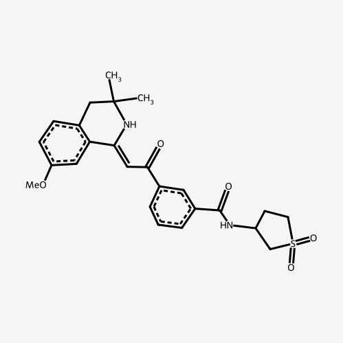 COc1ccc2c(c1)/C(=C/C(=O)c1cccc(C(=O)NC3CCS(=O)(=O)C3)c1)NC(C)(C)C2